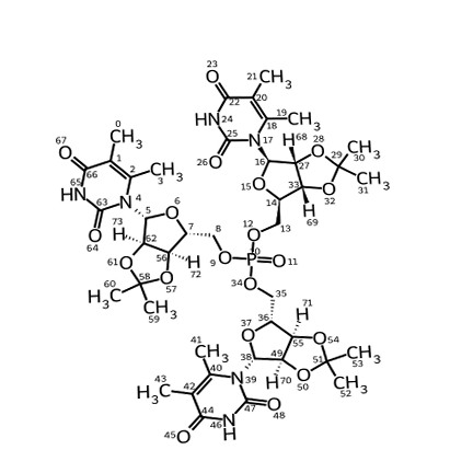 Cc1c(C)n([C@@H]2O[C@H](COP(=O)(OC[C@H]3O[C@@H](n4c(C)c(C)c(=O)[nH]c4=O)[C@@H]4OC(C)(C)O[C@@H]43)OC[C@H]3O[C@@H](n4c(C)c(C)c(=O)[nH]c4=O)[C@@H]4OC(C)(C)O[C@@H]43)[C@H]3OC(C)(C)O[C@H]32)c(=O)[nH]c1=O